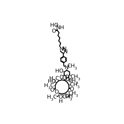 CC[C@H]1OC(=O)[C@H](C)[C@@H](O)[C@H](C)[C@@H](O[C@@H]2O[C@H](C)C[C@H](N(C)Cc3ccc(C4CN(CCCCCCC(=O)NO)N=N4)cc3)[C@H]2O)[C@](C)(OC)C[C@@H](C)C(=O)[C@H](C)[C@@H](O)[C@]1(C)O